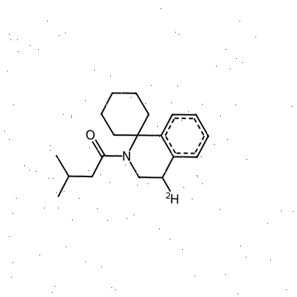 [2H]C1CN(C(=O)CC(C)C)C2(CCCCC2)c2ccccc21